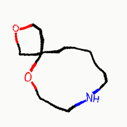 C1CNCCOC2(C1)COC2